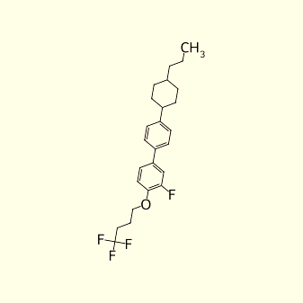 CCCC1CCC(c2ccc(-c3ccc(OCCCC(F)(F)F)c(F)c3)cc2)CC1